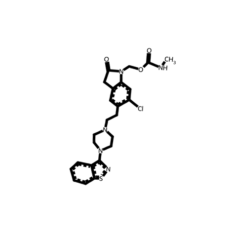 CNC(=O)OCN1C(=O)Cc2cc(CCN3CCN(c4nsc5ccccc45)CC3)c(Cl)cc21